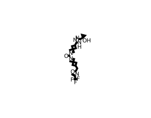 O=C(N1CC2(CC(Cc3nc(C(F)(F)F)co3)C2)C1)N1CC2(CC(c3nnc(C4(O)CC4)[nH]3)C2)C1